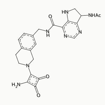 CC(=O)NC1CNc2c(C(=O)NCc3ccc4c(c3)CN(c3c(N)c(=O)c3=O)CC4)ncnc21